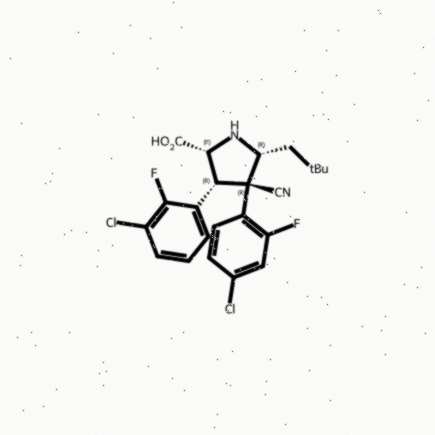 CC(C)(C)C[C@H]1N[C@@H](C(=O)O)[C@@H](c2cccc(Cl)c2F)[C@@]1(C#N)c1ccc(Cl)cc1F